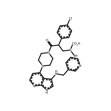 CC(C)N(CC(C(=O)N1CCN(c2ccnc3[nH]cc(NCc4cccnc4)c23)CC1)c1ccc(Cl)cc1)C(=O)O